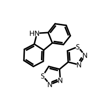 c1ccc2c(c1)[nH]c1ccccc12.c1snnc1-c1csnn1